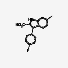 Cc1ccc2c(-c3ccc(F)cc3)c(C(=O)O)[nH]c2c1